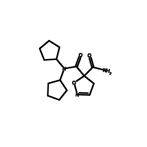 NC(=O)C1(C(=O)N(C2CCCC2)C2CCCC2)CC=NO1